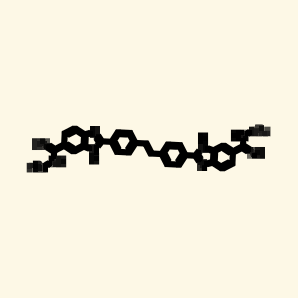 CCCCNC(=N)c1ccc2nc(-c3ccc(CCc4ccc(-c5nc6ccc(C(=N)NCCCC)cc6[nH]5)cc4)cc3)[nH]c2c1